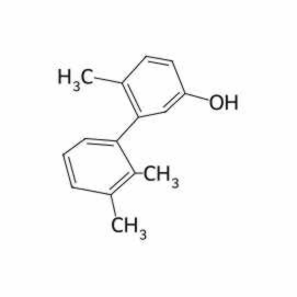 Cc1ccc(O)cc1-c1cccc(C)c1C